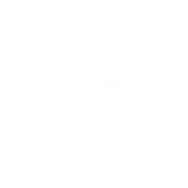 CCCCCCCCCCOS(=O)(=O)c1ccccc1OC